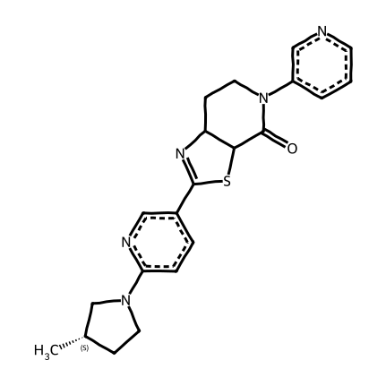 C[C@H]1CCN(c2ccc(C3=NC4CCN(c5cccnc5)C(=O)C4S3)cn2)C1